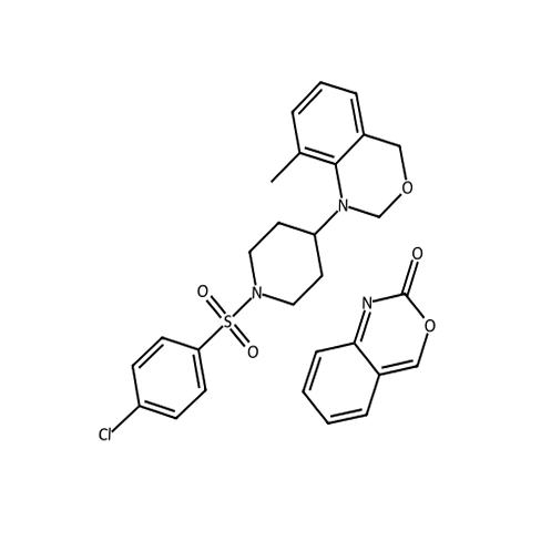 Cc1cccc2c1N(C1CCN(S(=O)(=O)c3ccc(Cl)cc3)CC1)COC2.O=c1nc2ccccc2co1